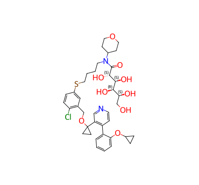 O=C([C@@H](O)[C@@H](O)[C@H](O)[C@@H](O)CO)N(CCCCSc1ccc(Cl)c(COC2(c3cnccc3-c3ccccc3OC3CC3)CC2)c1)C1CCOCC1